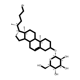 CC(C)CCC[C@@H](C)[C@H]1CCC2C3CC=C4CC(O[C@H]5O[C@H](CO)[C@@H](O)[C@H](O)[C@@H]5O)CC[C@]4(C)C3CC[C@@]21C